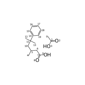 CC(=O)O.CC(CC(=O)O)CC(C)(C)c1ccccc1